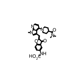 CN(C)C(=O)C1CCN(c2ccnc3c2c(C=C2Oc4ccc(NC(=O)O)cc4C2=O)cn3C)CC1